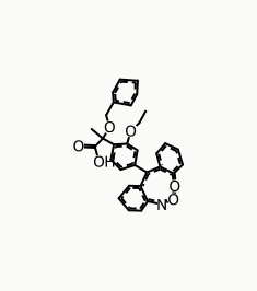 CCOc1cc(-c2c3ccccc3nooc3ccccc23)ccc1C(C)(OCc1ccccc1)C(=O)O